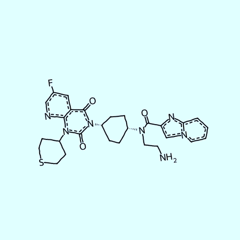 NCCN(C(=O)c1cn2ccccc2n1)[C@H]1CC[C@@H](n2c(=O)c3cc(F)cnc3n(C3CCSCC3)c2=O)CC1